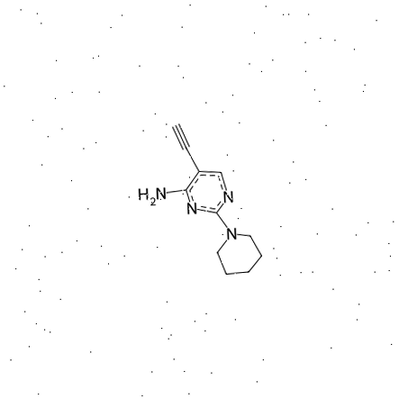 C#Cc1cnc(N2CCCCC2)nc1N